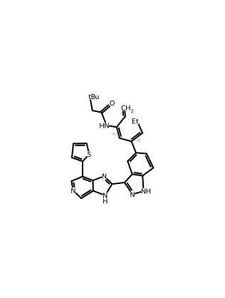 C=C/C(=C\C(=C/CC)c1ccc2[nH]nc(-c3nc4c(-c5cccs5)cncc4[nH]3)c2c1)NC(=O)CC(C)(C)C